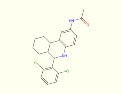 CC(=O)Nc1ccc2c(c1)C1CCCCC1C(c1c(Cl)cccc1Cl)N2